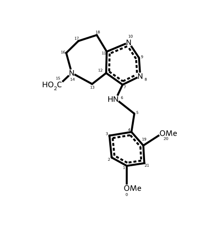 COc1ccc(CNc2ncnc3c2CN(C(=O)O)CCC3)c(OC)c1